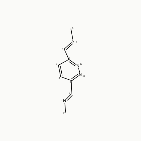 C/N=C/c1ccc(/C=N/C)nn1